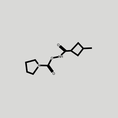 CC1CC(C(=O)NOC(=O)N2CCCC2)C1